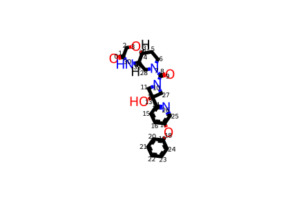 O=C1CO[C@H]2CCN(C(=O)N3CC(O)(c4ccc(Oc5ccccc5)cn4)C3)C[C@H]2N1